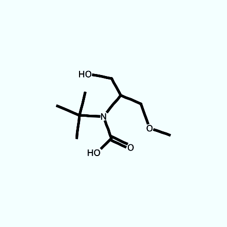 COCC(CO)N(C(=O)O)C(C)(C)C